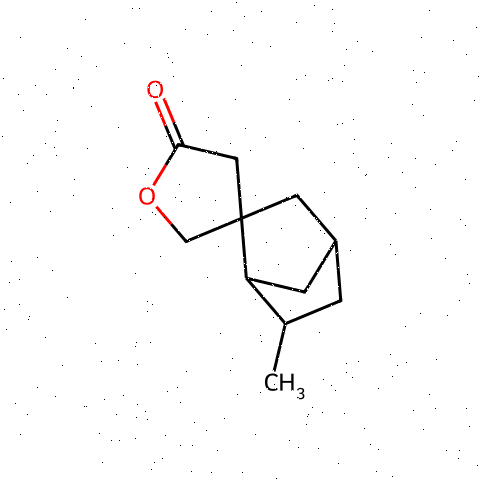 CC1CC2CC1C1(COC(=O)C1)C2